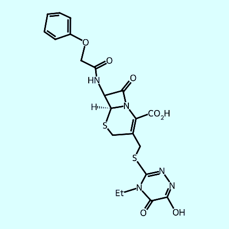 CCn1c(SCC2=C(C(=O)O)N3C(=O)C(NC(=O)COc4ccccc4)[C@@H]3SC2)nnc(O)c1=O